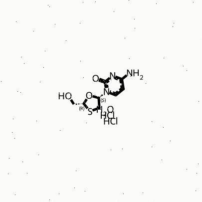 Cl.Cl.Nc1ccn([C@@H]2CS[C@H](CO)O2)c(=O)n1.O